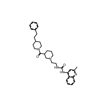 Cc1cc(NC(=O)NCCN2CCCC(C(=O)N3CCC(CCc4ccccc4)CC3)C2)c2ccccc2n1